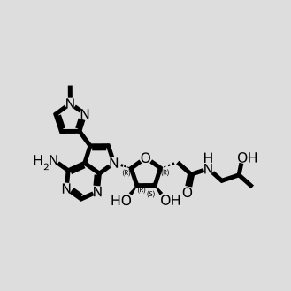 CC(O)CNC(=O)C[C@H]1O[C@@H](n2cc(-c3ccn(C)n3)c3c(N)ncnc32)[C@H](O)[C@@H]1O